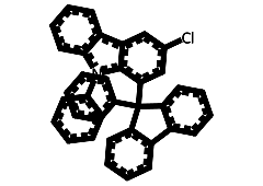 Clc1cc(C2(c3ccccc3)c3ccccc3-c3ccccc32)c2c(c1)c1ccccc1n2-c1ccccc1